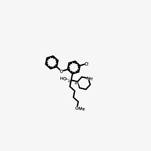 COCCCC[C@@](O)(c1cc(Cl)ccc1Oc1ccccc1)[C@@H]1CCCNC1